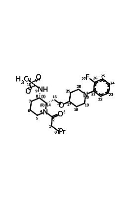 CC(C)CC(=O)N1CCC[C@H](NS(C)(=O)=O)[C@@H]1COC1CCN(c2ccccc2F)CC1